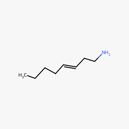 CCCC/C=C/CCN